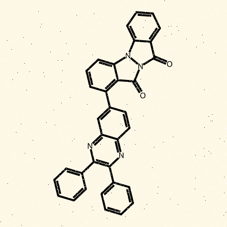 O=c1c2ccccc2n2c3cccc(-c4ccc5nc(-c6ccccc6)c(-c6ccccc6)nc5c4)c3c(=O)n12